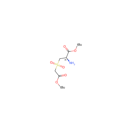 CC(C)(C)OC(=O)CS(=O)(=O)C[C@H](N)C(=O)OC(C)(C)C